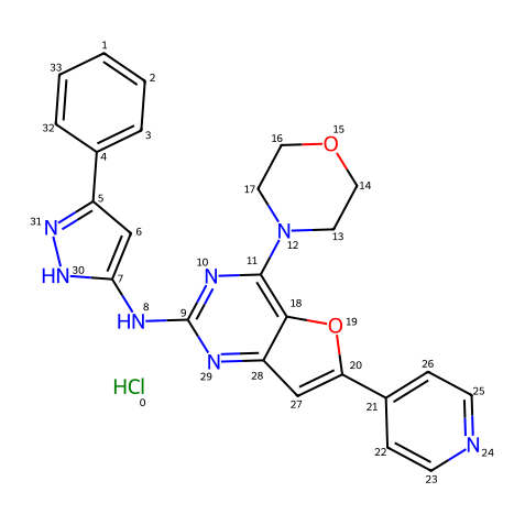 Cl.c1ccc(-c2cc(Nc3nc(N4CCOCC4)c4oc(-c5ccncc5)cc4n3)[nH]n2)cc1